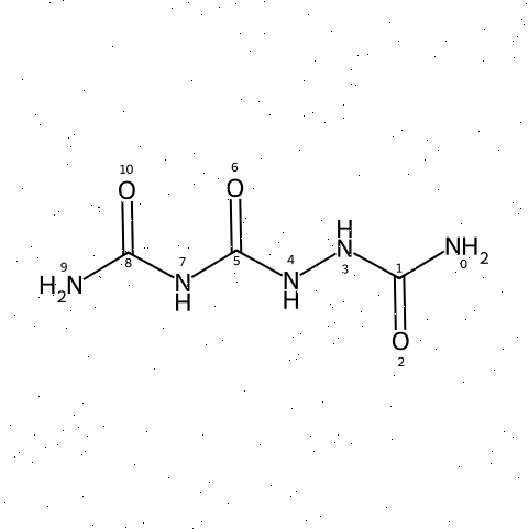 NC(=O)NNC(=O)NC(N)=O